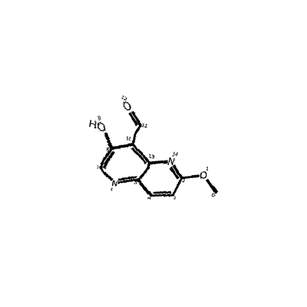 COc1ccc2ncc(O)c(C=O)c2n1